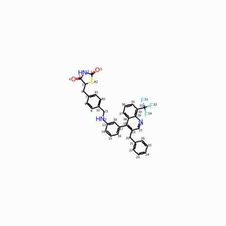 O=C1NC(=O)C(Cc2ccc(CNc3cccc(-c4c(Cc5ccccc5)cnc5c(C(F)(F)F)cccc45)c3)cc2)S1